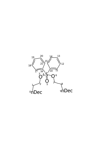 CCCCCCCCCCCCOS(=O)(OCCCCCCCCCCCC)(c1ccccc1)c1ccccc1